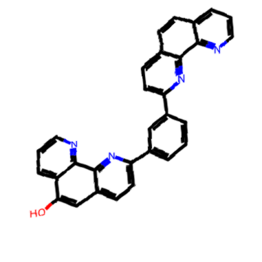 Oc1cc2ccc(-c3cccc(-c4ccc5ccc6cccnc6c5n4)c3)nc2c2ncccc12